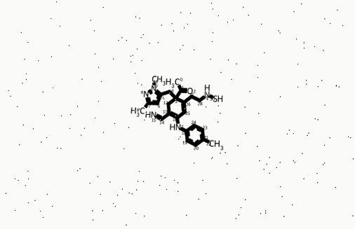 CC(=O)C1(Cc2cc(C)nn2C)CC(C=N)=C(Nc2ccc(C)cc2)C=C1CCNS